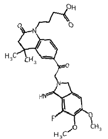 COc1cc2c(c(F)c1OC)C(=N)N(CC(=O)c1ccc3c(c1)C(C)(C)CC(=O)N3CCCC(=O)O)C2